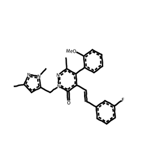 COc1ccccc1-c1c(C)nn(Cc2cc(C)nn2C)c(=O)c1/C=C/c1cccc(F)c1